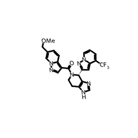 COCc1ccc2c(C(=O)N3CCc4[nH]cnc4[C@H]3c3cc4c(C(F)(F)F)cccn4n3)cnn2c1